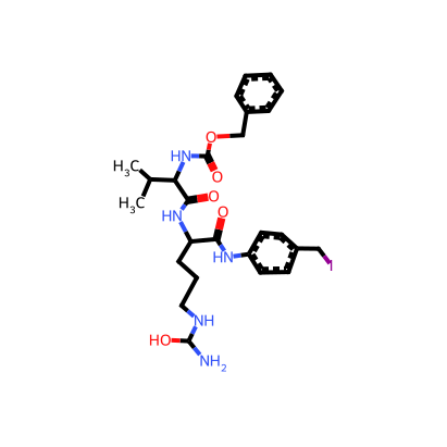 CC(C)C(NC(=O)OCc1ccccc1)C(=O)NC(CCCNC(N)O)C(=O)Nc1ccc(CI)cc1